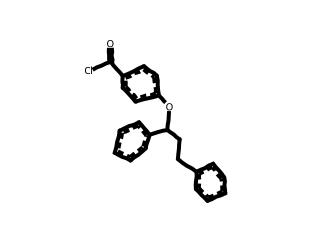 O=C(Cl)c1ccc(OC(CCc2ccccc2)c2ccccc2)cc1